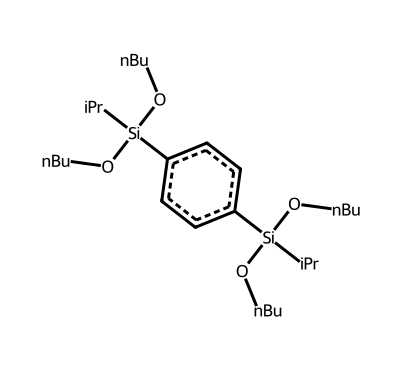 CCCCO[Si](OCCCC)(c1ccc([Si](OCCCC)(OCCCC)C(C)C)cc1)C(C)C